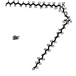 CCCCCCCCCCCCCCCCCCCCCC[N+](C)(C)CCOCC[N+](C)(C)CCCCCCCCCCCCCCCCCCCCCC.[Br-].[Br-]